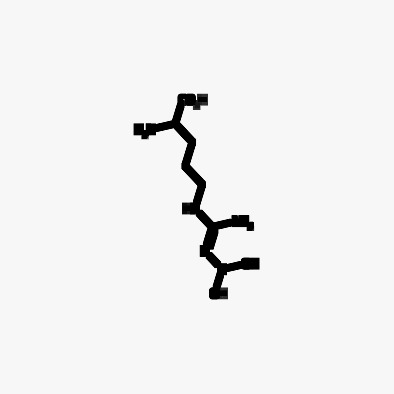 N/C(=N\N(O)O)NCCCC(N)C(=O)O